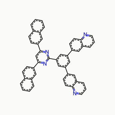 c1ccc2cc(-c3cc(-c4ccc5ccccc5c4)nc(-c4cc(-c5ccc6ncccc6c5)cc(-c5ccc6ncccc6c5)c4)n3)ccc2c1